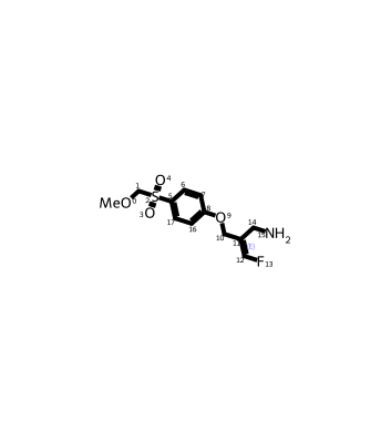 COCS(=O)(=O)c1ccc(OC/C(=C/F)CN)cc1